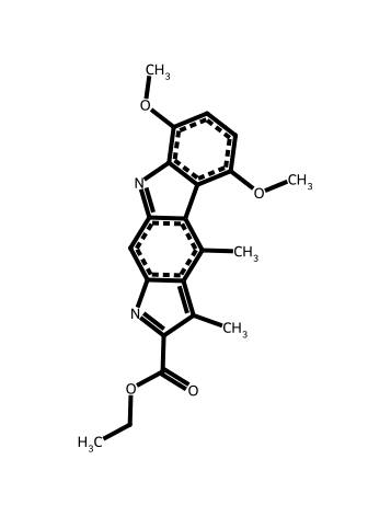 CCOC(=O)C1=Nc2cc3c(c(C)c2=C1C)-c1c(OC)ccc(OC)c1N=3